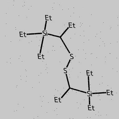 CCC(SSC(CC)[Si](CC)(CC)CC)[Si](CC)(CC)CC